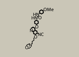 [C-]#[N+]c1cc2c(Oc3ccc(NC(=O)Nc4ccc(OC)cc4)cc3)ccnc2cc1OCCCCN1CCOCC1